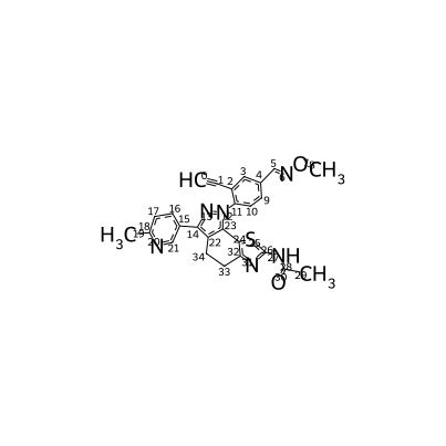 C#Cc1cc(C=NOC)ccc1-n1nc(-c2ccc(C)nc2)c2c1-c1sc(NC(C)=O)nc1CC2